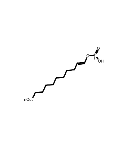 CCCCCCCCCCCCCCCCC=CO[PH](=O)O